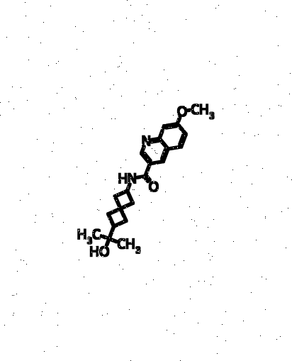 COc1ccc2cc(C(=O)NC3CC4(C3)CC(C(C)(C)O)C4)cnc2c1